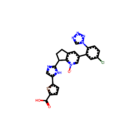 O=C(O)c1ccc(-c2cnc(C3CCc4cc(-c5cc(Cl)ccc5-n5cnnn5)c[n+]([O-])c43)[nH]2)s1